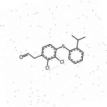 CC(C)c1ccccc1Sc1ccc(CC=O)c(Cl)c1Cl